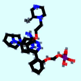 C[C@@H]1CNCCN1CCOc1cc(N2C3CCC2CN(c2cc(-c4ccccc4OCOP(=O)(O)O)nnc2N)C3)ccn1